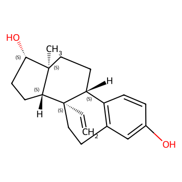 C=C[C@@]12CCc3cc(O)ccc3[C@H]1CC[C@@]1(C)[C@H]2CC[C@@H]1O